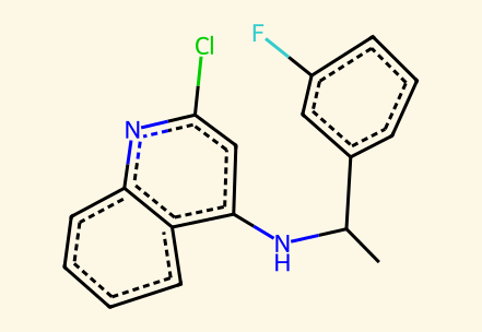 CC(Nc1cc(Cl)nc2ccccc12)c1cccc(F)c1